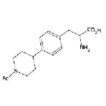 CC(=O)N1CCC(c2ccc(CC(N)C(=O)O)cc2)CC1